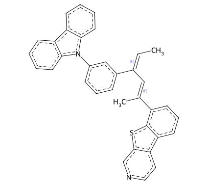 C/C=C(\C=C(/C)c1cccc2c1sc1cnccc12)c1cccc(-n2c3ccccc3c3ccccc32)c1